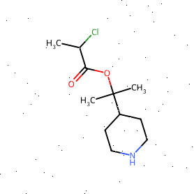 CC(Cl)C(=O)OC(C)(C)C1CCNCC1